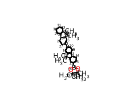 CC1(C)c2cc(B3OC(C)(C)C(C)(C)O3)ccc2-c2ccc(C3=CC4C(C=C3)c3ccccc3C4(C)C)cc21